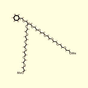 COCCOCCOCCOCCOCCOCCOCC(COCc1ccccc1)OCCOCCOCCOCCOCCOCCOC